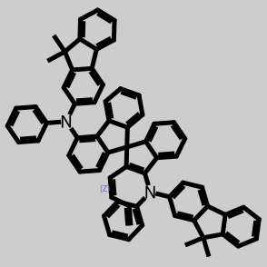 C=C/C=C\C1=C(N(c2ccccc2)c2ccc3c(c2)C(C)(C)c2ccccc2-3)c2ccccc2C12c1ccccc1-c1c(N(c3ccccc3)c3ccc4c(c3)C(C)(C)c3ccccc3-4)cccc12